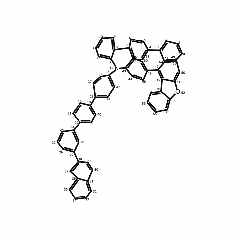 c1ccc(-c2ccc(-c3ccccc3N(c3ccc(-c4ccc(-c5cccc(-c6ccc7ccccc7c6)c5)cc4)cc3)c3ccc(-c4cccc5oc6ccccc6c45)cc3)cc2)cc1